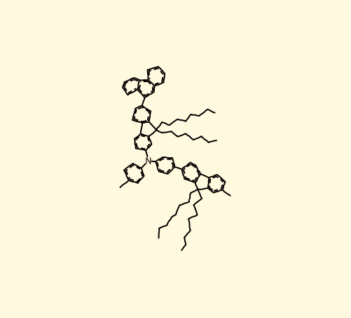 CCCCCCCCC1(CCCCCCCC)c2cc(C)ccc2-c2ccc(-c3ccc(N(c4ccc(C)cc4)c4ccc5c(c4)C(CCCCCCCC)(CCCCCCCC)c4cc(-c6cc7ccccc7c7ccccc67)ccc4-5)cc3)cc21